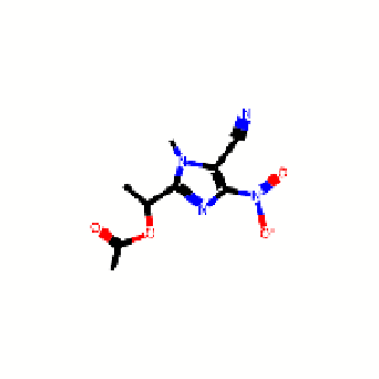 CC(=O)OC(C)c1nc([N+](=O)[O-])c(C#N)n1C